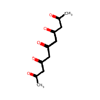 CC(=O)CC(=O)CC(=O)CC(=O)CC(C)=O